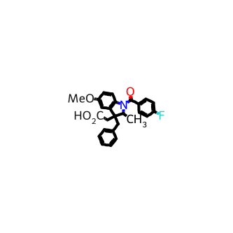 COc1ccc2c(c1)C(CC(=O)O)(Cc1ccccc1)C(C)N2C(=O)c1ccc(F)cc1